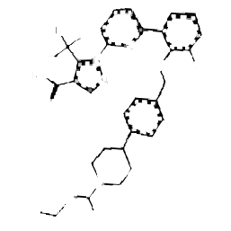 CCOC(O)N1CCC(c2ccc(COc3c(Cl)cccc3-c3cccc(-n4ncc(C(=O)O)c4C(F)(F)F)n3)cc2)CC1